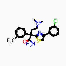 CN(C)CCC(C(N)=O)(c1cccc(C(F)(F)F)c1)c1nc(-c2cccc(Cl)c2)cs1